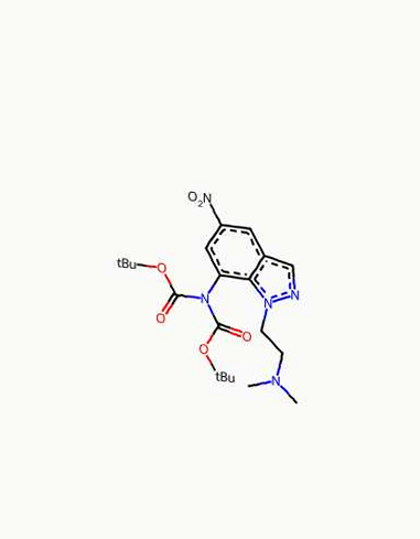 CN(C)CCn1ncc2cc([N+](=O)[O-])cc(N(C(=O)OC(C)(C)C)C(=O)OC(C)(C)C)c21